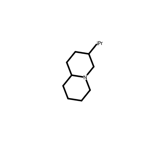 CC(C)C1CCC2CCCCN2C1